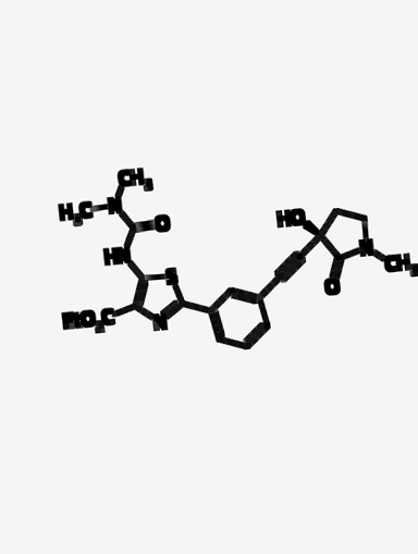 CCOC(=O)c1nc(-c2cccc(C#C[C@]3(O)CCN(C)C3=O)c2)sc1NC(=O)N(C)C